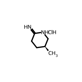 C[C@H]1CCC(=N)NC1.Cl